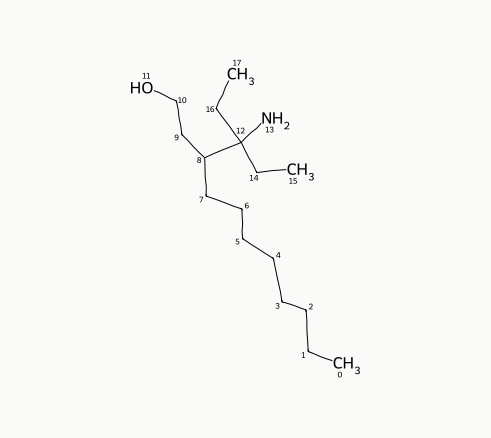 CCCCCCCCC(CCO)C(N)(CC)CC